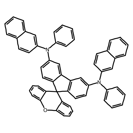 c1ccc(N(c2ccc3c(c2)-c2cc(N(c4ccccc4)c4ccc5ccccc5c4)ccc2C32c3ccccc3Oc3ccccc32)c2ccc3ccccc3c2)cc1